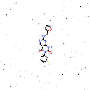 O=c1[nH]c2nc(NCc3ccco3)ncc2c(=O)n1-c1cccc(F)c1